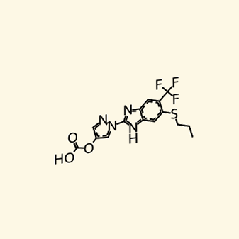 CCCSc1cc2[nH]c(-n3cc(OC(=O)O)cn3)nc2cc1C(F)(F)F